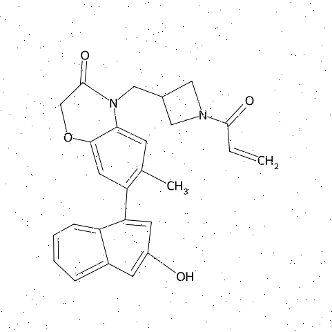 C=CC(=O)N1CC(CN2C(=O)COc3cc(-c4cc(O)cc5ccccc45)c(C)cc32)C1